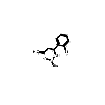 C=CCC(N[S+]([O-])C(C)(C)C)c1ccccc1Cl